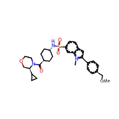 COCc1ccc(-c2cc3ccc(S(=O)(=O)N[C@H]4CC[C@H](C(=O)N5CCOC[C@@H]5C5CC5)CC4)cc3n2C)cc1